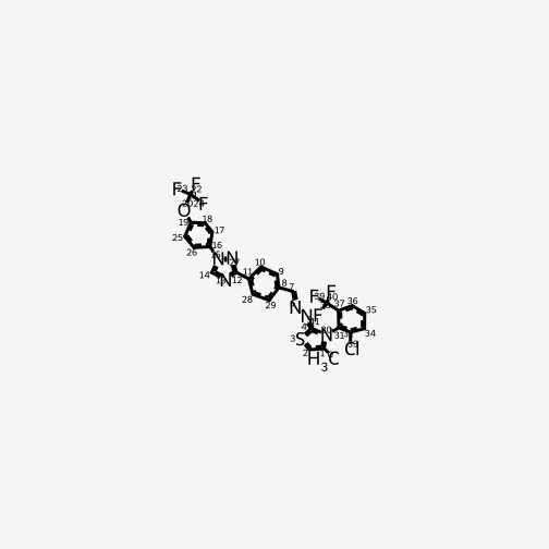 Cc1cs/c(=N\N=C\c2ccc(-c3ncn(-c4ccc(OC(F)(F)F)cc4)n3)cc2)n1-c1c(Cl)cccc1C(F)(F)F